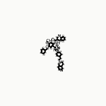 COc1cc(NC(=O)c2cnc3ccccc3c2)c(-c2nnn(-c3ccc(CCN4CCc5cnccc5C4)cc3)n2)cc1OCc1ccccc1